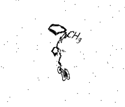 CN(/N=C/c1ccc[n+](CCCS(=O)(=O)[O-])c1)c1ccccc1